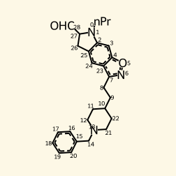 CCCN1c2cc3onc(CCC4CCN(Cc5ccccc5)CC4)c3cc2CC1C=O